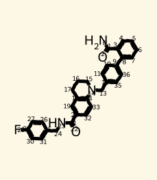 NC(=O)c1ccccc1-c1ccc(CN2CCCc3cc(C(=O)NCc4ccc(F)cc4)ccc32)cc1